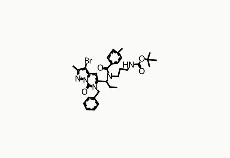 CCC(c1cc2c(Br)c(C)nn2c(=O)n1Cc1ccccc1)N(CCCNC(=O)OC(C)(C)C)C(=O)c1ccc(C)cc1